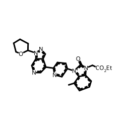 CCOC(=O)Cn1c(=O)n(-c2ccc(-c3cncc4c3cnn4C3CCCCO3)nc2)c2c(C)cccc21